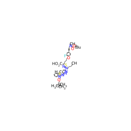 C#CCCCN(c1cc(C)c(/N=c2\sc3ccccc3n2COCC[Si](C)(C)C)nn1)c1nc(C(=O)O)c(CCCOc2ccc(C#CCN(C)C(=O)OC(C)(C)C)cc2F)s1